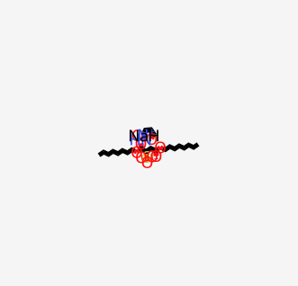 CCCCCCCCOC(=O)CC(C(=O)OCCCCCCCC)S(=O)(=O)[O-].O=[N+]1C=CCON1.[NaH]